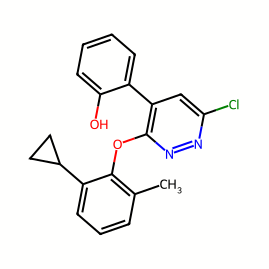 Cc1cccc(C2CC2)c1Oc1nnc(Cl)cc1-c1ccccc1O